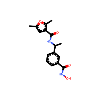 Cc1cc(C(=O)NC(C)c2cccc(C(=O)NO)c2)c(C)o1